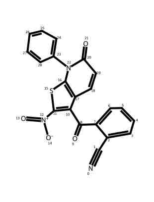 N#Cc1ccccc1C(=O)c1c([N+](=O)[O-])sc2c1ccc(=O)n2-c1ccccc1